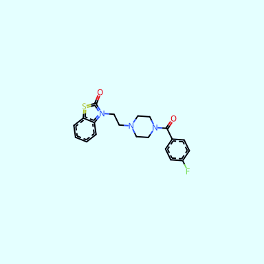 O=C(c1ccc(F)cc1)N1CCN(CCn2c(=O)sc3ccccc32)CC1